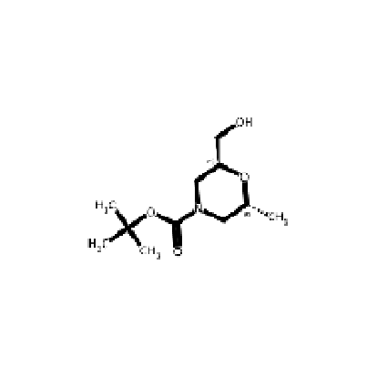 C[C@@H]1CN(C(=O)OC(C)(C)C)C[C@@H](CO)O1